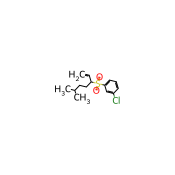 C=CC(CCC(C)C)S(=O)(=O)c1cccc(Cl)c1